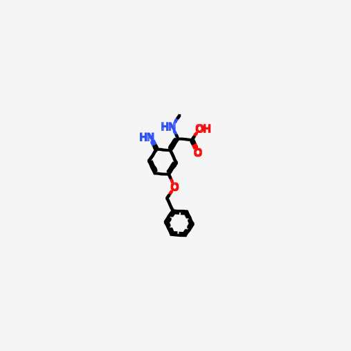 CN/C(C(=O)O)=C1/C=C(OCc2ccccc2)C=CC1=N